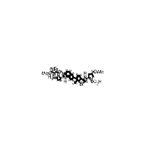 COC[C@H]1C[C@@H](c2nc(Br)c(-c3ccc4c(c3)COc3cc5c(ccc6nc([C@@H]7CC[C@H](C)N7C(=O)[C@@H](NC(=O)OC)C(C)C)[nH]c65)cc3-4)[nH]2)N(C(=O)O)C1